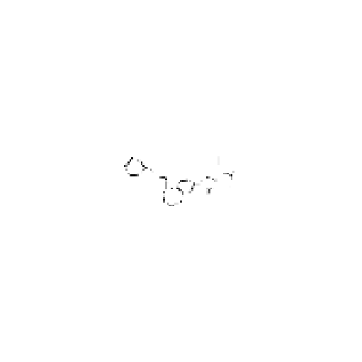 CC(=O)N[C@H]1CN(c2ccc3c(c2)CCCCN3C(=O)OCc2ccccc2)C(=O)O1